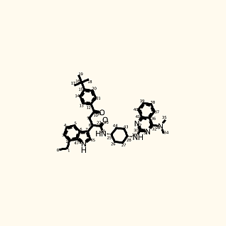 CCc1cccc2c(C(CC(=O)c3ccc(C(C)(C)C)cc3)C(=O)N[C@H]3CC[C@@H](Nc4nc(N(C)C)c5ccccc5n4)CC3)c[nH]c12